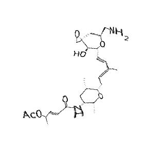 CC(=O)OC(C)C=CC(=O)N[C@@H]1C[C@H](C)[C@H](CC=C(C)C=C[C@H]2O[C@H](CN)C[C@@]3(CO3)[C@@H]2O)O[C@@H]1C